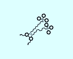 C=CCc1ccc(OCCCCCCCCCC[PH](c2ccccc2)(c2ccccc2)c2ccccc2)c(-c2cc(CC=C)ccc2OCCCCCCCCCC[PH](c2ccccc2)(c2ccccc2)c2ccccc2)c1